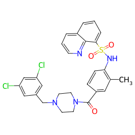 Cc1cc(C(=O)N2CCN(Cc3cc(Cl)cc(Cl)c3)CC2)ccc1NS(=O)(=O)c1cccc2cccnc12